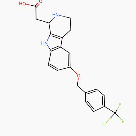 O=C(O)CC1NCCc2c1[nH]c1ccc(OCc3ccc(C(F)(F)F)cc3)cc21